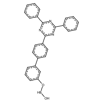 OBOc1cccc(-c2ccc(-c3nc(-c4ccccc4)nc(-c4ccccc4)n3)cc2)c1